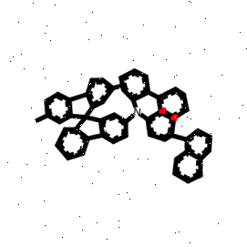 Cc1ccc2c(c1)C1(c3ccccc3-c3ccc(N(c4ccc(-c5cccc6ccccc56)cc4)c4ccccc4-c4ccccc4)cc31)c1cc(C)ccc1-2